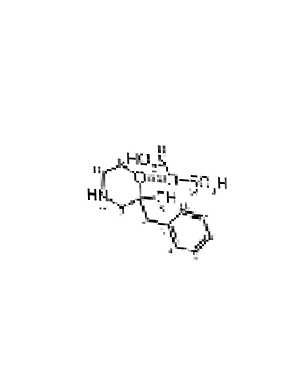 CC1(Cc2ccccc2)CNCCO1.O=S(=O)(O)OS(=O)(=O)O